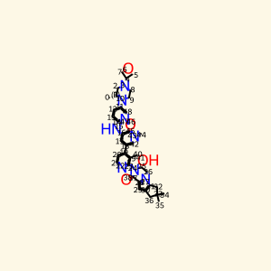 C[C@@H]1CN(C2COC2)CCN1c1ccc(Nc2cc(-c3ccnc(N4CCn5c(cc6c5CC(C)(C)C6)C4=O)c3CO)cn(C)c2=O)nc1